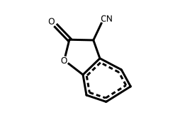 N#CC1C(=O)Oc2ccccc21